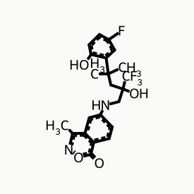 Cc1noc(=O)c2ccc(NCC(O)(CC(C)(C)c3cc(F)ccc3O)C(F)(F)F)cc12